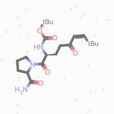 CC(C)(C)/C=C\C(=O)CC[C@H](NC(=O)OC(C)(C)C)C(=O)N1CCCC1C(N)=O